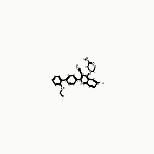 CCOc1ccccc1-c1ccc(-c2nc3ccc(F)cc3c(N(CC)CC(=O)O)c2C#N)cc1